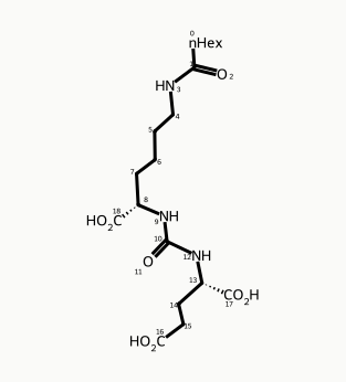 CCCCCCC(=O)NCCCC[C@H](NC(=O)N[C@@H](CCC(=O)O)C(=O)O)C(=O)O